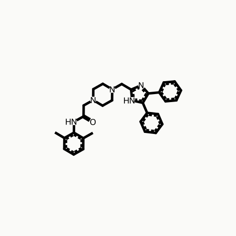 Cc1cccc(C)c1NC(=O)CN1CCN(Cc2nc(-c3ccccc3)c(-c3ccccc3)[nH]2)CC1